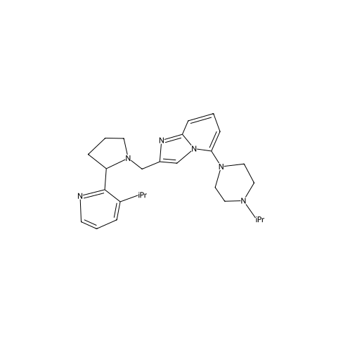 CC(C)c1cccnc1C1CCCN1Cc1cn2c(N3CCN(C(C)C)CC3)cccc2n1